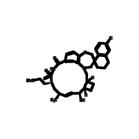 COCC[C@H]1C[C@H](C)/C=C/[C@H](O)[C@@H]2CC[C@H]2CN2C[C@@]3(CCCc4cc(Cl)ccc43)COc3ccc(cc32)C(=O)NS1(=O)=O